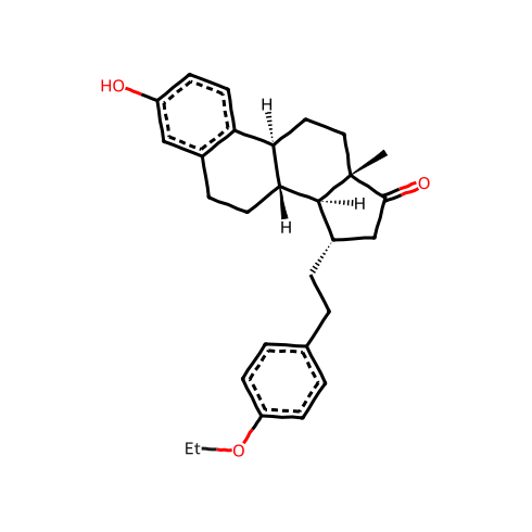 CCOc1ccc(CC[C@H]2CC(=O)[C@@]3(C)CC[C@@H]4c5ccc(O)cc5CC[C@H]4[C@H]23)cc1